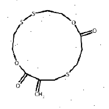 C=C1CSCCC(=O)OCCSSCCOC1=O